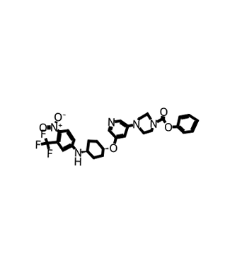 O=C(Oc1ccccc1)N1CCN(c2cncc(O[C@H]3CC[C@H](Nc4ccc([N+](=O)[O-])c(C(F)(F)F)c4)CC3)c2)CC1